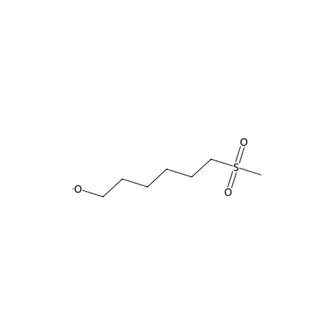 CS(=O)(=O)CCCCCC[O]